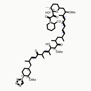 COC(CC1CC[C@@H](C)[C@](O)(C(=O)C(=O)N2CCCCC2C(=O)O)O1)/C(C)=C/C=C/C=C/C(C)CC(C)C(=O)[C@H](OC)C(O)/C(C)=C/C(I)C(=O)/C=C/C(C)C[C@@H]1CC[C@H](n2cnnn2)[C@H](OC)C1